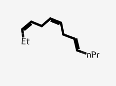 [CH2]CC/C=C/C/C=C\C/C=C\CC